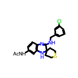 CC(=O)Nc1ccc2c(c1)NC1(CCSCC1)C(NCc1cccc(Cl)c1)=N2